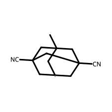 CC12C[C]3CC(C#N)(C1)CC(C#N)(C3)C2